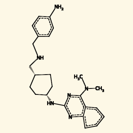 CN(C)c1nc(N[C@H]2CC[C@@H](CNCc3ccc(N)cc3)CC2)nc2ccccc12